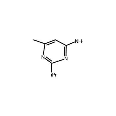 Cc1cc([NH])nc(C(C)C)n1